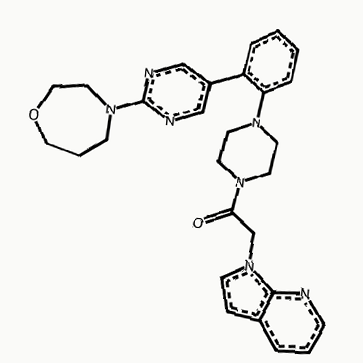 O=C(Cn1ccc2cccnc21)N1CCN(c2ccccc2-c2cnc(N3CCCOCC3)nc2)CC1